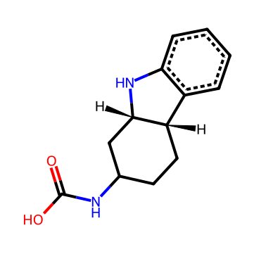 O=C(O)NC1CC[C@H]2c3ccccc3N[C@H]2C1